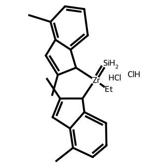 C[CH2][Zr](=[SiH2])([CH]1C(C)=Cc2c(C)cccc21)[CH]1C(C)=Cc2c(C)cccc21.Cl.Cl